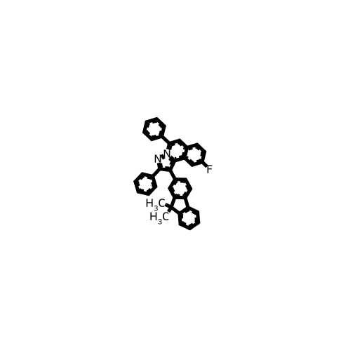 CC1(C)c2ccccc2-c2ccc(-c3c(-c4ccccc4)nn4c(-c5ccccc5)cc5ccc(F)cc5c34)cc21